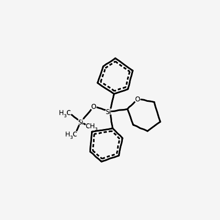 C[Si](C)(C)O[Si](c1ccccc1)(c1ccccc1)C1CCCCO1